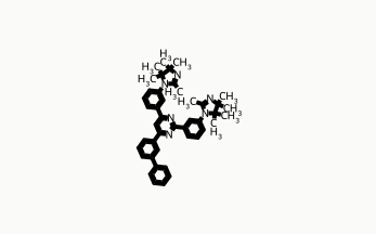 CC1=NC(C)(C)C(C)(C)N1c1cccc(-c2cc(-c3cccc(-c4ccccc4)c3)nc(-c3cccc(N4C(C)=NC(C)(C)C4(C)C)c3)n2)c1